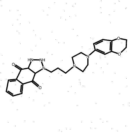 O=C1c2ccccc2C(=O)C2C1NNN2CCCN1CCN(c2ccc3c(c2)OCCO3)CC1